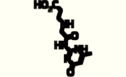 Cc1cc(=O)nc(NC(=O)CNCCC(=O)O)[nH]1